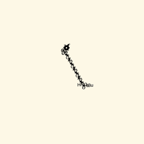 Cc1ccc(S(=O)(=O)OCCOCCOCCOCCOCCOCCOCCNC(=O)OC(C)(C)C)cc1